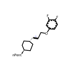 CCCCC[C@H]1CC[C@H](/C=C/COc2ccc(F)c(F)c2)CC1